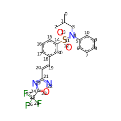 CC(C)CN(c1ccccc1)S(=O)(=O)c1cccc(C=Cc2noc(C(F)(F)F)n2)c1